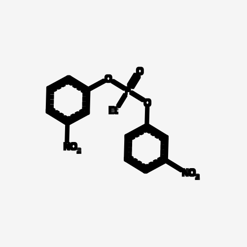 CCP(=O)(Oc1cccc([N+](=O)[O-])c1)Oc1cccc([N+](=O)[O-])c1